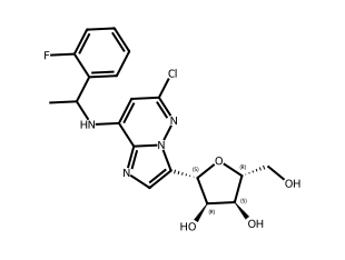 CC(Nc1cc(Cl)nn2c([C@@H]3O[C@H](CO)[C@@H](O)[C@H]3O)cnc12)c1ccccc1F